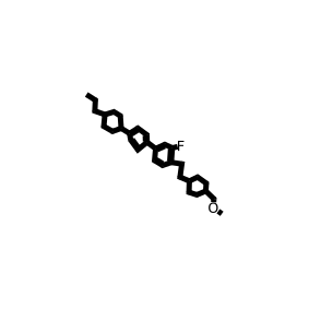 CCCC1CCC(c2ccc(-c3ccc(CCC4CCC(COC)CC4)c(F)c3)cc2)CC1